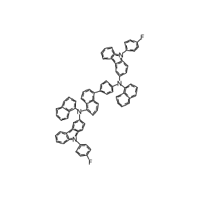 Fc1ccc(-n2c3ccccc3c3cc(N(c4ccc(-c5cccc6c(N(c7ccc8c(c7)c7ccccc7n8-c7ccc(F)cc7)c7cccc8ccccc78)cccc56)cc4)c4cccc5ccccc45)ccc32)cc1